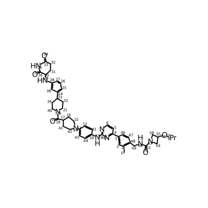 Cc1cc(-c2ccnc(Nc3ccc(N4CCC(C(=O)N5CCC(c6cccc(NC7CCC(=O)NC7=O)c6)CC5)CC4)cc3)n2)ccc1CNC(=O)N1CC(OC(C)C)C1